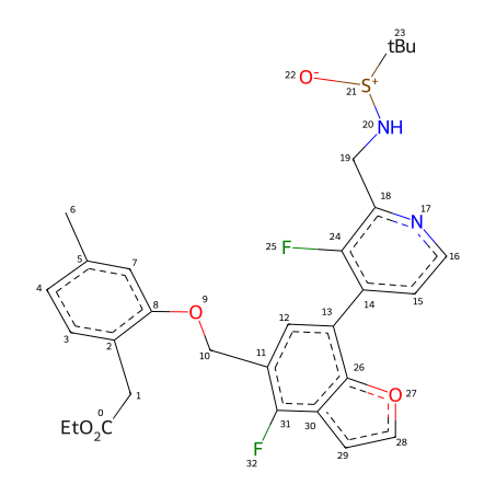 CCOC(=O)Cc1ccc(C)cc1OCc1cc(-c2ccnc(CN[S+]([O-])C(C)(C)C)c2F)c2occc2c1F